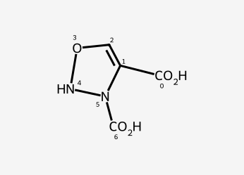 O=C(O)C1=CONN1C(=O)O